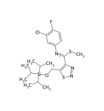 CS/C(=N\c1ccc(F)c(Cl)c1)c1nnsc1CO[Si](C(C)C)(C(C)C)C(C)C